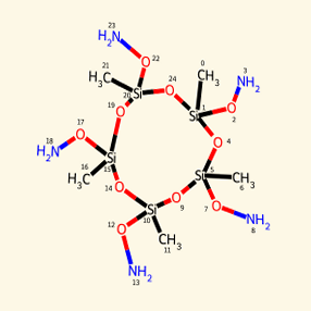 C[Si]1(ON)O[Si](C)(ON)O[Si](C)(ON)O[Si](C)(ON)O[Si](C)(ON)O1